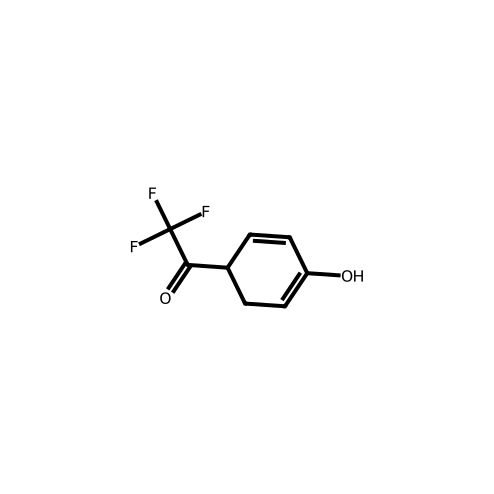 O=C(C1C=CC(O)=CC1)C(F)(F)F